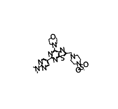 CN(C)c1ncc(-c2nc(N3CCOCC3)c3nc(CN4CCN(S(C)(=O)=O)CC4)sc3n2)cn1